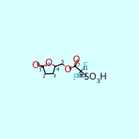 O=C1CCC(COC(=O)C(F)(F)S(=O)(=O)O)O1